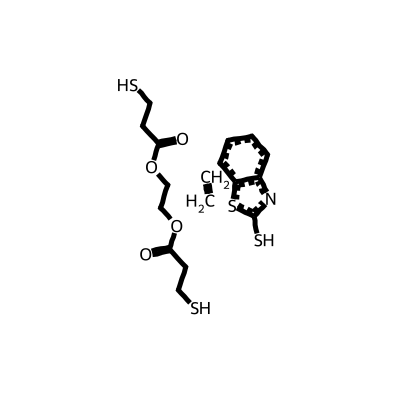 C=C.O=C(CCS)OCCOC(=O)CCS.Sc1nc2ccccc2s1